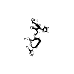 O=C(O)C[C@H]1C=CC[C@H](CCC(=O)/C(=C\CO)c2cccs2)B(O)O1